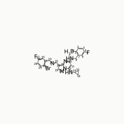 Bc1ccc(F)cc1CNc1cc(NC2CC2)n2ncc(/C=N/Cc3cc(F)ccc3Br)c2n1